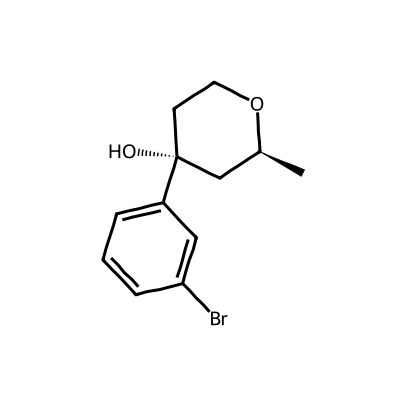 C[C@H]1C[C@@](O)(c2cccc(Br)c2)CCO1